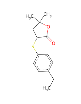 CCc1ccc(SC2CC(C)(C)OC2=O)cc1